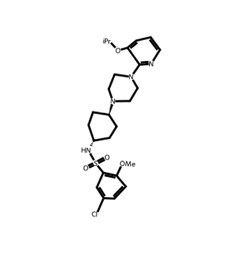 COc1ccc(Cl)cc1S(=O)(=O)N[C@H]1CC[C@H](N2CCN(c3ncccc3OC(C)C)CC2)CC1